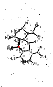 BB(B)B(B(B)B)B(B(I)B(B(B(B)B)B(B)B)B(B(B)B)B(B)B)B(B(B)B)B(B)B